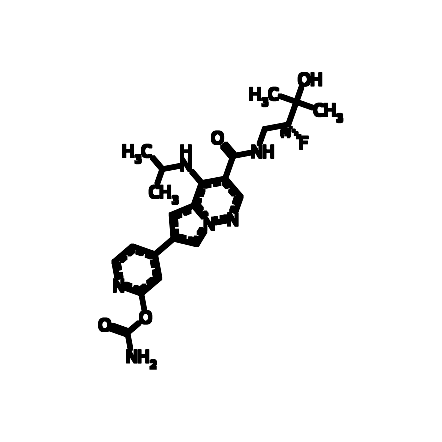 CC(C)Nc1c(C(=O)NC[C@@H](F)C(C)(C)O)cnn2cc(-c3ccnc(OC(N)=O)c3)cc12